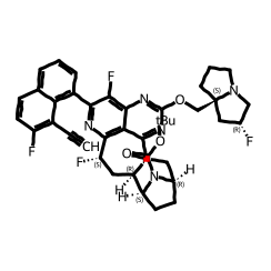 C#Cc1c(F)ccc2cccc(-c3nc4c5c(nc(OC[C@@]67CCCN6C[C@H](F)C7)nc5c3F)N3C[C@H]5CC[C@@H]([C@H]3C[C@@H]4F)N5C(=O)OC(C)(C)C)c12